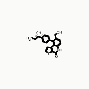 C[C@@H](CN)c1ccc(-c2c(CO)ccc3[nH]c(=O)c4sccc4c23)cc1